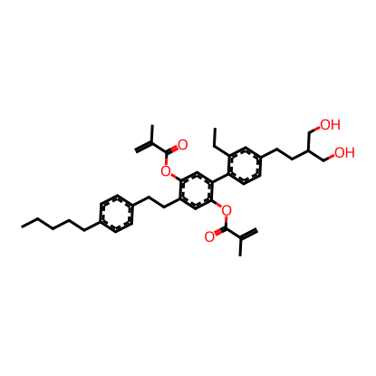 C=C(C)C(=O)Oc1cc(-c2ccc(CCC(CO)CO)cc2CC)c(OC(=O)C(=C)C)cc1CCc1ccc(CCCCC)cc1